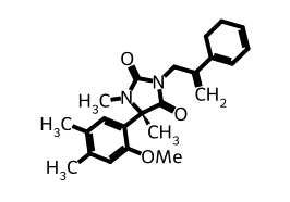 C=C(CN1C(=O)N(C)[C@@](C)(c2cc(C)c(C)cc2OC)C1=O)C1=CC=CCC1